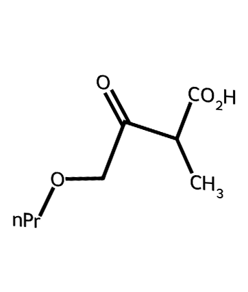 CCCOCC(=O)C(C)C(=O)O